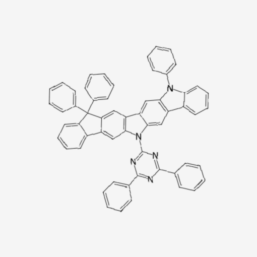 c1ccc(-c2nc(-c3ccccc3)nc(-n3c4cc5c(cc4c4cc6c(cc43)c3ccccc3n6-c3ccccc3)C(c3ccccc3)(c3ccccc3)c3ccccc3-5)n2)cc1